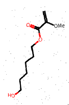 C=C(OC)C(=O)OCCCCCCO